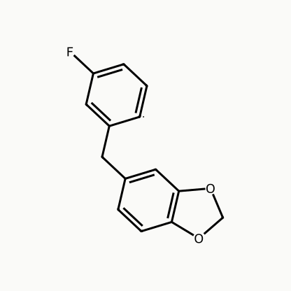 Fc1cc[c]c(Cc2ccc3c(c2)OCO3)c1